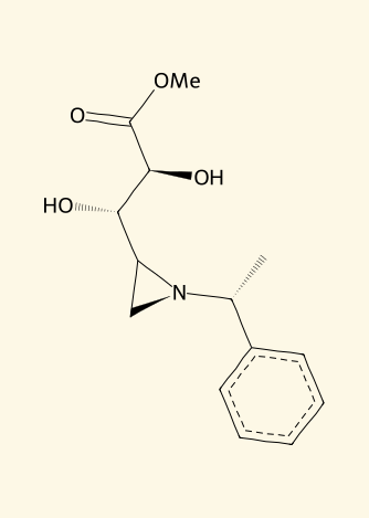 COC(=O)[C@@H](O)[C@@H](O)C1C[N@]1[C@H](C)c1ccccc1